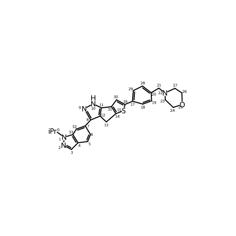 CC(C)n1ncc2ccc(-c3n[nH]c4c3Cc3sc(-c5ccc(CN6CCOCC6)cc5)cc3-4)cc21